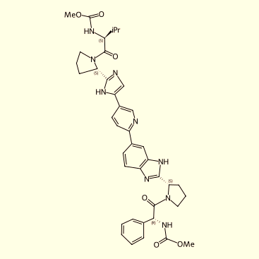 COC(=O)N[C@H](C(=O)N1CCC[C@H]1c1ncc(-c2ccc(-c3ccc4nc([C@@H]5CCCN5C(=O)[C@H](NC(=O)OC)c5ccccc5)[nH]c4c3)nc2)[nH]1)C(C)C